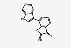 C=C1Oc2c(cccc2-c2c[nH]c3ccccc23)C1=O